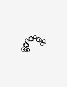 CS(=O)(=O)c1ccc(O[C@H]2CC[C@H](OC3CCN(C(=O)O)CC3)CC2)cc1